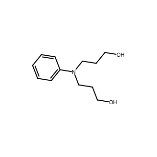 OCCCN(CCCO)c1ccccc1